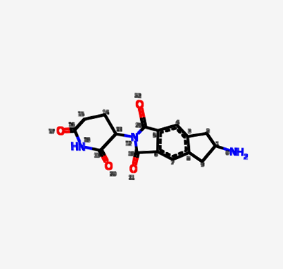 NC1Cc2cc3c(cc2C1)C(=O)N(C1CCC(=O)NC1=O)C3=O